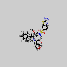 [2H]O[C@]([2H])(C([2H])([2H])N(CC(C)C)S(=O)(=O)c1ccc2nc(N)sc2c1)[C@@]([2H])(N(C(=O)O)C1CO[C@@H]2OC=C[C@@H]12)C([2H])([2H])c1c([2H])c([2H])c([2H])c([2H])c1[2H]